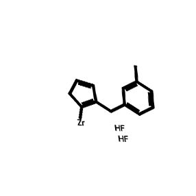 Cc1cccc(CC2=[C]([Zr])CC=C2)c1.F.F